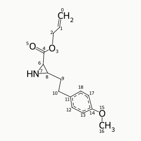 C=CCOC(=O)C1NC1CCc1ccc(OC)cc1